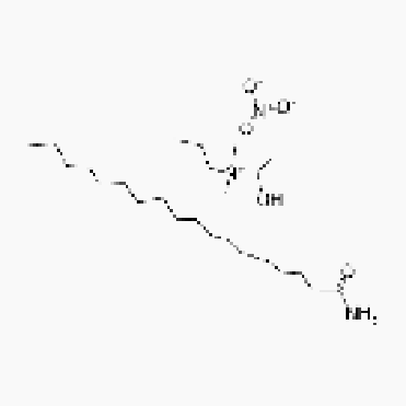 CCCCCCCCCCCCCCCCCC(N)=O.CCC[N+](C)(C)C(C)O.O=[N+]([O-])[O-]